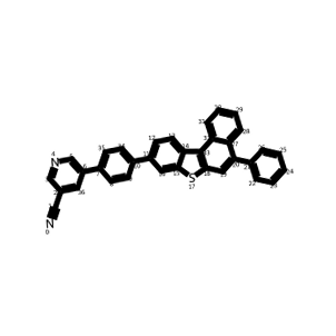 N#Cc1cncc(-c2ccc(-c3ccc4c(c3)sc3cc(-c5ccccc5)c5ccccc5c34)cc2)c1